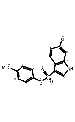 COc1ccc(NS(=O)(=O)c2c[nH]c3cc(Cl)ccc23)cn1